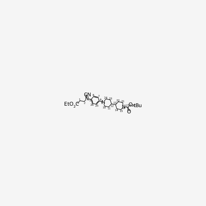 CCOC(=O)CCN(C#N)c1ccc(N2CCC(C3CCN(C(=O)OC(C)(C)C)CC3)CC2)cc1